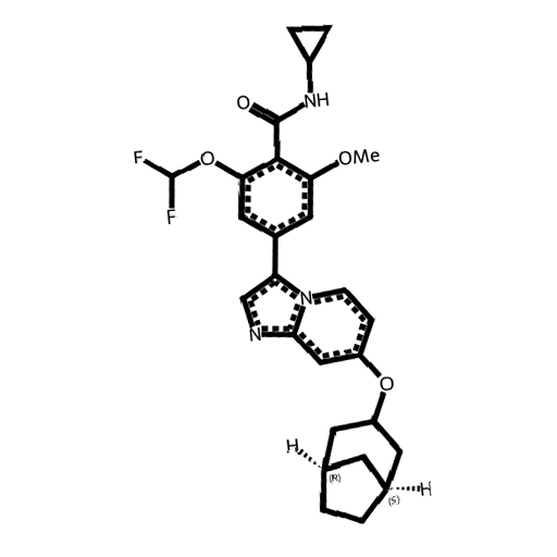 COc1cc(-c2cnc3cc(OC4C[C@H]5CC[C@@H](C4)C5)ccn23)cc(OC(F)F)c1C(=O)NC1CC1